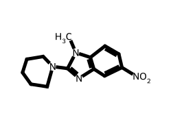 Cn1c(N2CCCCC2)nc2cc([N+](=O)[O-])ccc21